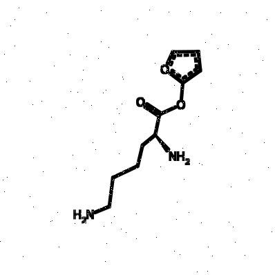 NCCCC[C@H](N)C(=O)Oc1ccco1